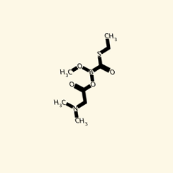 CCSC(=O)B(OC)OC(=O)CN(C)C